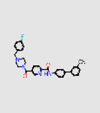 N#Cc1cccc(-c2ccc(NC(=O)c3ccc(C(=O)N4CCN(Cc5ccc(F)cc5)CC4)cn3)cc2)c1